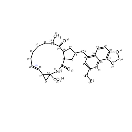 CCOc1cc(OC2CC3C(=O)NC4(C(=O)O)CC4/C=C/CCCCN(C)C(=O)C3C2)c2ccc3c(c2n1)OCO3